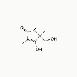 CC1=C(O)C(C)(CO)SC1=O